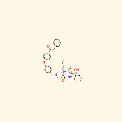 CCCCN1C(=O)[C@H]([C@H](O)C2CCCCC2)NC(=O)C12CCN(Cc1ccc(Oc3ccc(C(=O)Cc4ccccc4)cc3)cc1)CC2